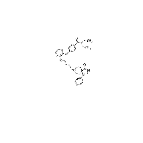 CCN(CC)C(=O)c1ccc(Cc2ccccc2OCCCCN2CCC3(CC2)C(=O)NCN3c2ccccc2)cc1